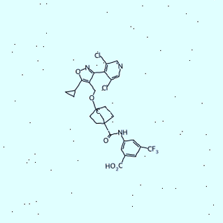 O=C(O)c1cc(NC(=O)C23CCC(OCc4c(-c5c(Cl)cncc5Cl)noc4C4CC4)(CC2)CC3)cc(C(F)(F)F)c1